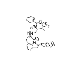 CC(C(CN[C@H]1CCc2cccc3c2N(C1=O)[C@H](C(=O)O)C3)NC(=O)c1ccccc1)C(F)(F)F